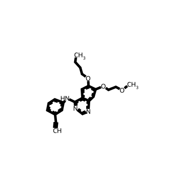 C#Cc1cccc(Nc2ncnc3cc(OCCOC)c(OCCCC)cc23)c1